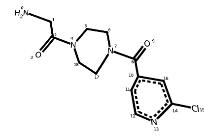 NCC(=O)N1CCN(C(=O)c2ccnc(Cl)c2)CC1